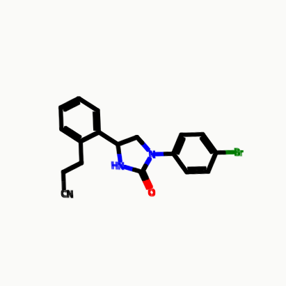 N#CCCc1ccccc1C1CN(c2ccc(Br)cc2)C(=O)N1